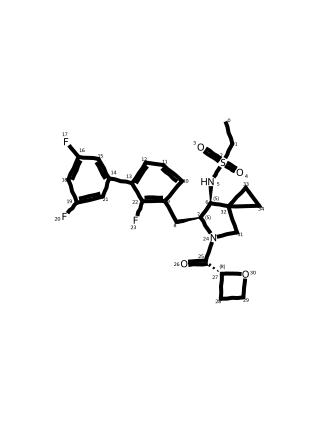 CCS(=O)(=O)N[C@@H]1[C@H](Cc2cccc(-c3cc(F)cc(F)c3)c2F)N(C(=O)[C@H]2CCO2)CC12CC2